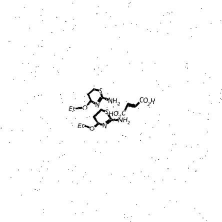 CCOC1CCSC(N)=N1.CCOC1CCSC(N)=N1.O=C(O)/C=C/C(=O)O